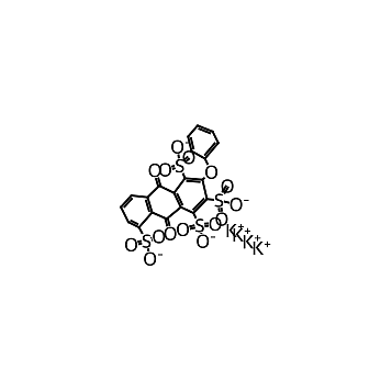 O=C1c2cccc(S(=O)(=O)[O-])c2C(=O)c2c1c(S(=O)(=O)[O-])c(Oc1ccccc1)c(S(=O)(=O)[O-])c2S(=O)(=O)[O-].[K+].[K+].[K+].[K+]